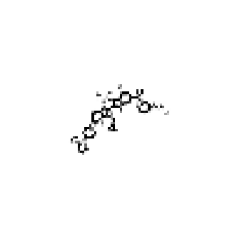 Cc1c(-c2cc3ccc(N4CCC(N5CCCC5=O)CC4)nc3n2CC2CC2)nn2cc(C(=O)N3CCC[C@@H](N)C3)cc(F)c12